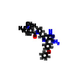 CN(C)C(C)(C)C=C(C#N)C(=O)N1CCCC1Cc1cc2[nH]nc(N)c2c(-c2ccc(Oc3ccccc3)cc2)n1